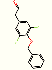 O=CCc1cc(F)c(OCc2ccccc2)c(F)c1